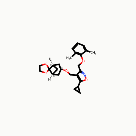 Cc1cccc(C)c1OCc1noc(C2CC2)c1CO[C@@H]1C[C@H]2CC[C@@H](C1)C21OCCO1